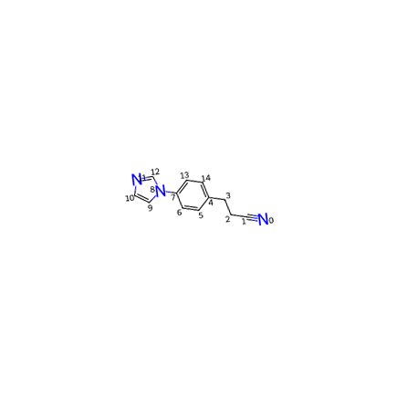 N#CCCc1ccc(-n2ccnc2)cc1